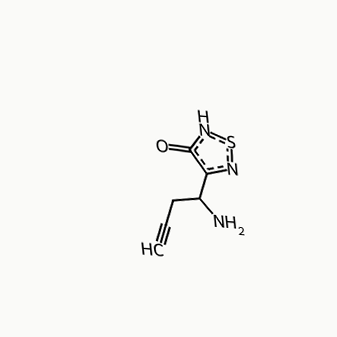 C#CCC(N)c1ns[nH]c1=O